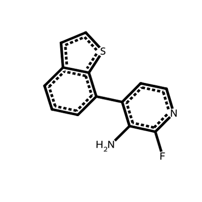 Nc1c(-c2cccc3ccsc23)ccnc1F